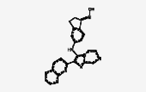 O/N=C1\CCc2cc(Nc3c(-c4ccc5ccccc5n4)nc4cnccn34)ccc21